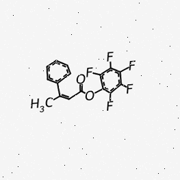 CC(=CC(=O)Oc1c(F)c(F)c(F)c(F)c1F)c1ccccc1